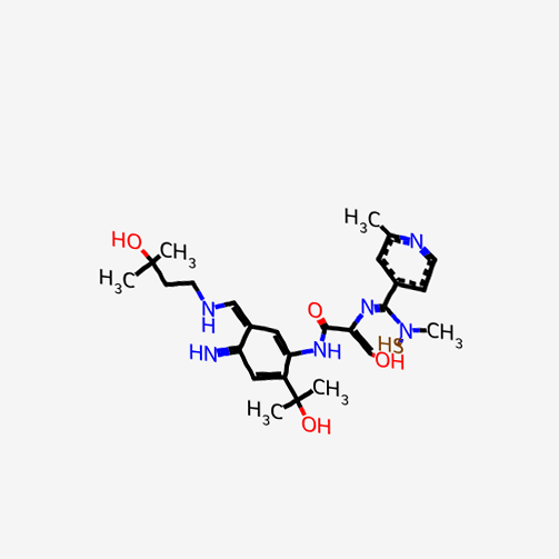 Cc1cc(/C(=N/C(=C\O)C(=O)NC2=C/C(=C/NCCC(C)(C)O)C(=N)C=C2C(C)(C)O)N(C)S)ccn1